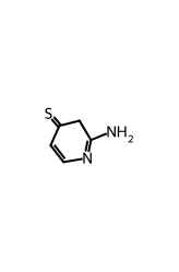 NC1=NC=CC(=S)C1